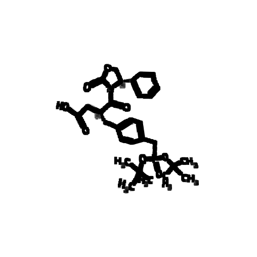 CC(C)(C)OP(=O)(Cc1ccc(C[C@H](CC(=O)O)C(=O)N2C(=O)OC[C@@H]2c2ccccc2)cc1)OC(C)(C)C